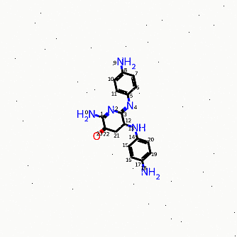 NC1=NC(=Nc2ccc(N)cc2)C(Nc2ccc(N)cc2)CC1=O